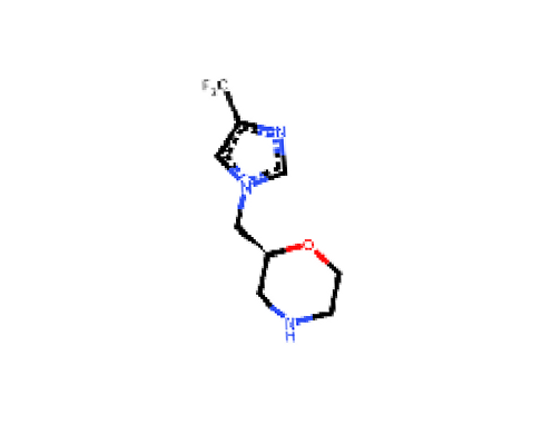 FC(F)(F)c1cn(C[C@@H]2CNCCO2)cn1